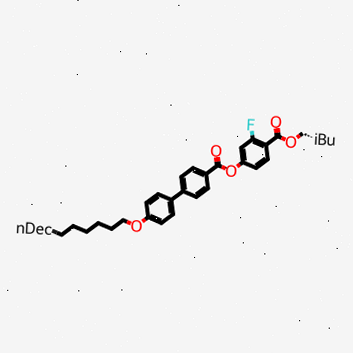 CCCCCCCCCCCCCCCCOc1ccc(-c2ccc(C(=O)Oc3ccc(C(=O)OC[C@@H](C)CC)c(F)c3)cc2)cc1